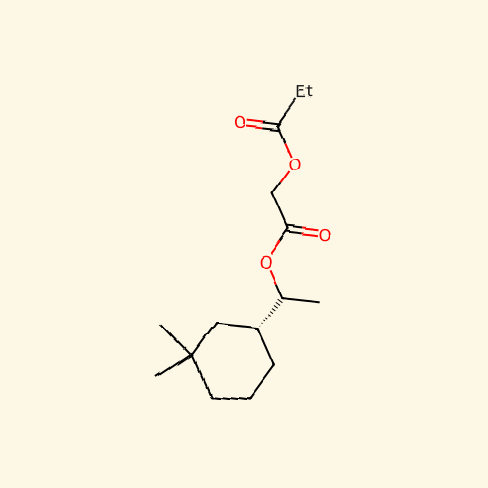 CCC(=O)OCC(=O)OC(C)[C@@H]1CCCC(C)(C)C1